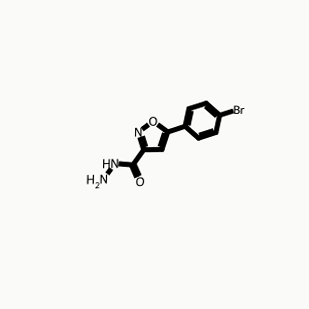 NNC(=O)c1cc(-c2ccc(Br)cc2)on1